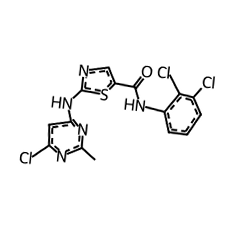 Cc1nc(Cl)cc(Nc2ncc(C(=O)Nc3cccc(Cl)c3Cl)s2)n1